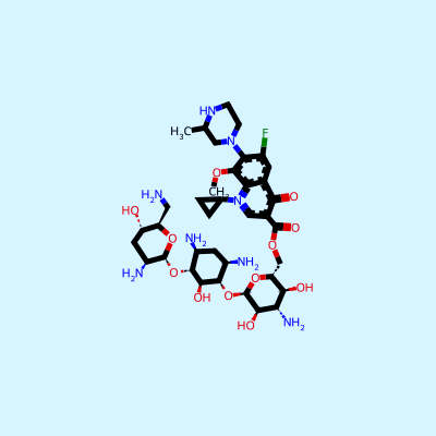 COc1c(N2CCNC(C)C2)c(F)cc2c(=O)c(C(=O)OC[C@H]3O[C@H](O[C@@H]4[C@@H](O)[C@H](O[C@H]5O[C@H](CN)[C@@H](O)C[C@H]5N)[C@@H](N)C[C@H]4N)[C@H](O)[C@@H](N)[C@@H]3O)cn(C3CC3)c12